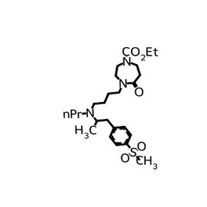 CCCN(CCCCN1CCN(C(=O)OCC)CCC1=O)C(C)Cc1ccc(S(C)(=O)=O)cc1